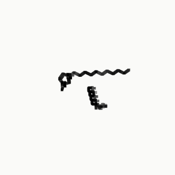 CCCCCCCCCCC[n+]1ccn(C)c1.[Cl-].[Cl-].[Cl-].[Cl-].[Fe+3]